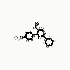 O=[N+]([O-])c1ccc(-c2nc(-c3ccccc3)ncc2CBr)cc1